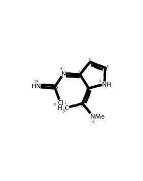 CN/C(C)=C1\NC=C\C1=N\C(=N)Cl